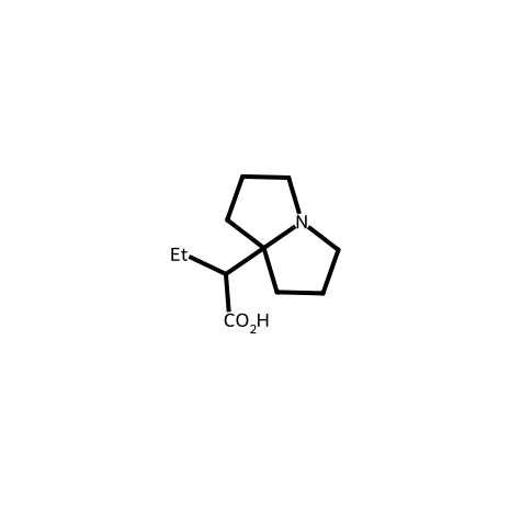 CCC(C(=O)O)C12CCCN1CCC2